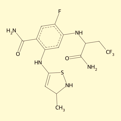 CC1C=C(Nc2cc(NC(CC(F)(F)F)C(N)=O)c(F)cc2C(N)=O)SN1